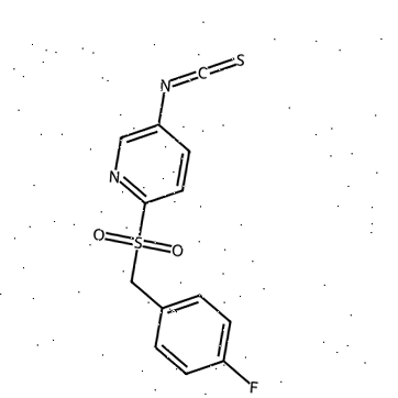 O=S(=O)(Cc1ccc(F)cc1)c1ccc(N=C=S)cn1